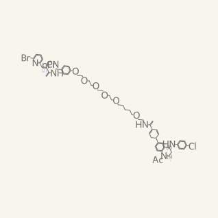 C=C(NCCOCCCCCOCCOCCOCCOCCOc1ccc(C(CCC)NC(=C)/C(C#N)=C/c2cccc(Br)n2)cc1)C1=CCC(c2ccc3c(c2)[C@H](Nc2ccc(Cl)cc2)C[C@H](C)N3C(C)=O)C=C1